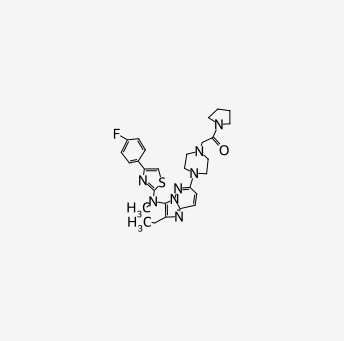 CCc1nc2ccc(N3CCN(CC(=O)N4CCCC4)CC3)nn2c1N(C)c1nc(-c2ccc(F)cc2)cs1